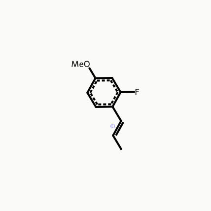 C/C=C/c1ccc(OC)cc1F